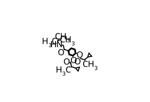 CC(C(=O)Oc1ccc(C(=O)CNC(C)(C)C)cc1OC(=O)C(C)C1CC1)C1CC1